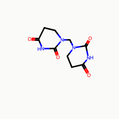 O=C1CCN(CN2CCC(=O)NC2=O)C(=O)N1